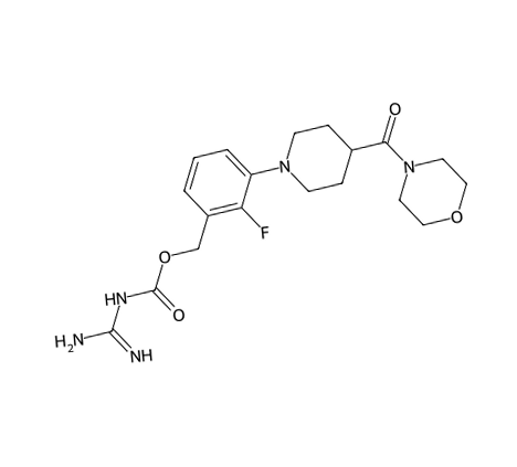 N=C(N)NC(=O)OCc1cccc(N2CCC(C(=O)N3CCOCC3)CC2)c1F